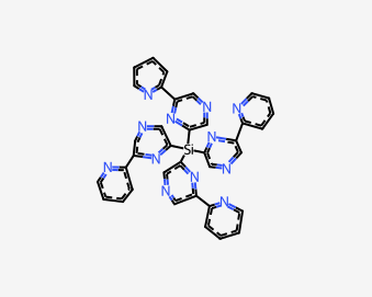 c1ccc(-c2cncc([Si](c3cncc(-c4ccccn4)n3)(c3cncc(-c4ccccn4)n3)c3cncc(-c4ccccn4)n3)n2)nc1